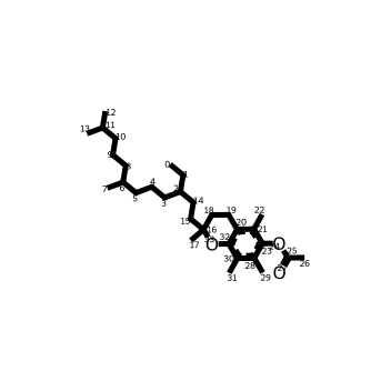 CCC(CCCC(C)CCCC(C)C)CCC1(C)CCc2c(C)c(OC(C)=O)c(C)c(C)c2O1